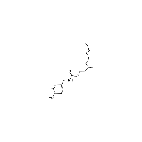 CC(C)=CCCC(C)CCOC(=O)NCc1ccc(O)c(C)c1